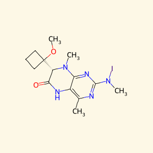 COC1([C@H]2C(=O)Nc3c(C)nc(N(C)I)nc3N2C)CCC1